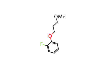 COCCCOc1ccccc1F